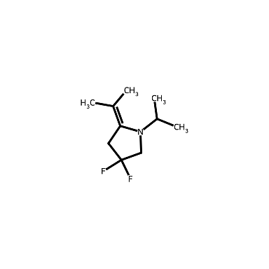 CC(C)=C1CC(F)(F)CN1C(C)C